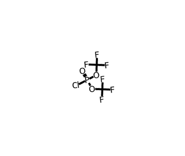 O=P(Cl)(OC(F)(F)F)OC(F)(F)F